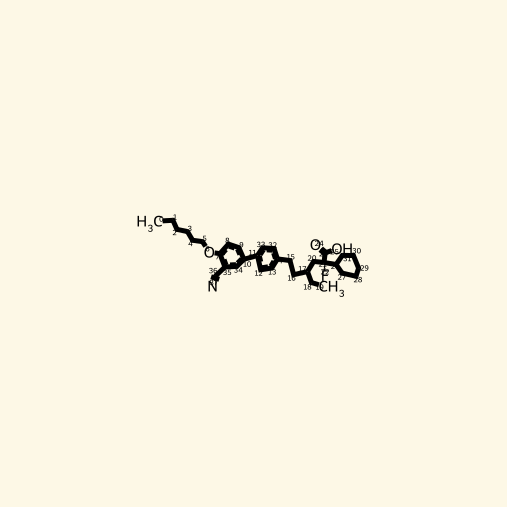 CCCCCCOc1ccc(-c2ccc(CCC(CC)C[C@@](F)(C(=O)O)C3CCCCC3)cc2)cc1C#N